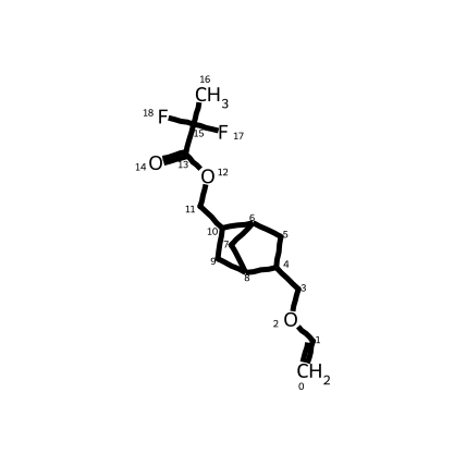 C=COCC1CC2CC1CC2COC(=O)C(C)(F)F